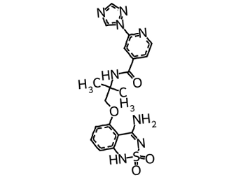 CC(C)(COc1cccc2c1C(N)=NS(=O)(=O)N2)NC(=O)c1ccnc(-n2cncn2)c1